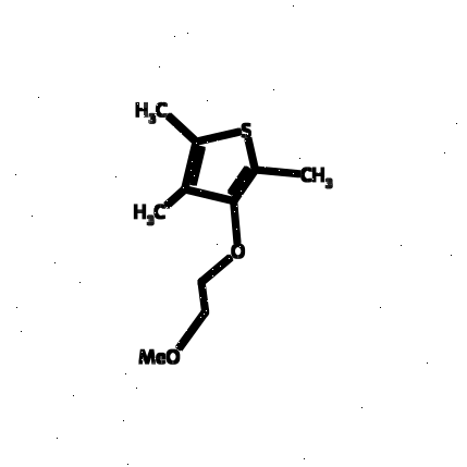 COCCOc1c(C)sc(C)c1C